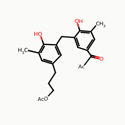 CC(=O)OCCCc1cc(C)c(O)c(Cc2cc(C(=O)C(C)=O)cc(C)c2O)c1